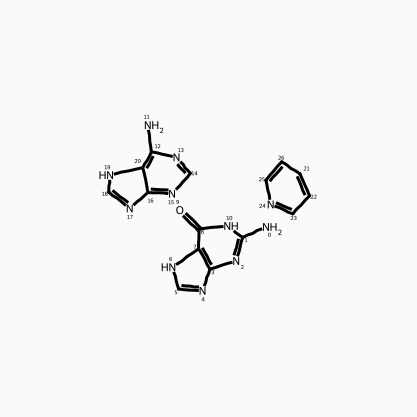 Nc1nc2nc[nH]c2c(=O)[nH]1.Nc1ncnc2nc[nH]c12.c1ccncc1